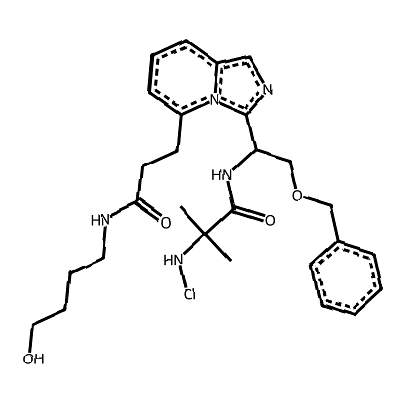 CC(C)(NCl)C(=O)NC(COCc1ccccc1)c1ncc2cccc(CCC(=O)NCCCCO)n12